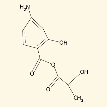 CC(O)C(=O)OC(=O)c1ccc(N)cc1O